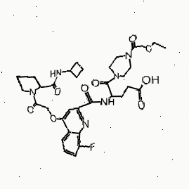 CCOC(=O)N1CCN(C(=O)C(CCC(=O)O)NC(=O)c2cc(OCC(=O)N3CCCC3C(=O)NC3CCC3)c3cccc(F)c3n2)CC1